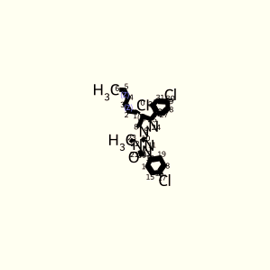 C=C(/C=C\C=C/C)[C@H]1CN(c2nn(-c3ccc(Cl)cc3)c(=O)n2C)N=C1c1ccc(Cl)cc1